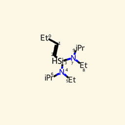 CCC=C[SiH](N(CC)C(C)C)N(CC)C(C)C